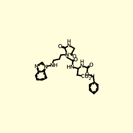 O=C(O)CC(NC(=O)C[N+]1(CCCNn2cnc3ccccc32)C(=O)CNC1=O)NC(=O)OCc1ccccc1